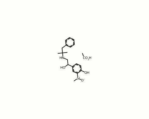 CC(=O)O.C[S+]([O-])c1cc(C(O)CNC(C)(C)Cc2ccccc2)ccc1O